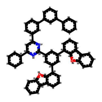 c1ccc(-c2cccc(-c3cccc(-c4cc(-c5ccccc5)nc(-c5cc(-c6cccc7c6oc6ccccc67)cc(-c6cccc7c6oc6ccccc67)c5)n4)c3)c2)cc1